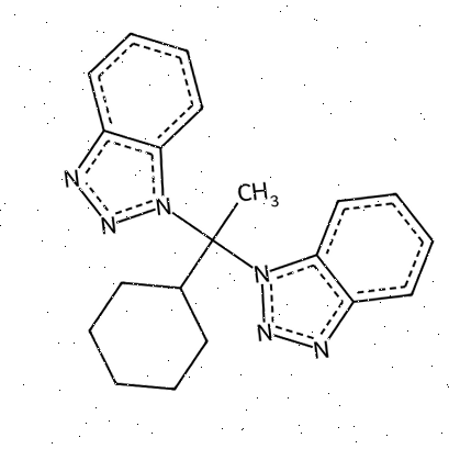 CC(C1CCCCC1)(n1nnc2ccccc21)n1nnc2ccccc21